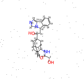 O=C(CO)NC1C2CC3C[C@@H]1CC(C(O)CC1c4ccccc4-c4cncn41)(C3)C2